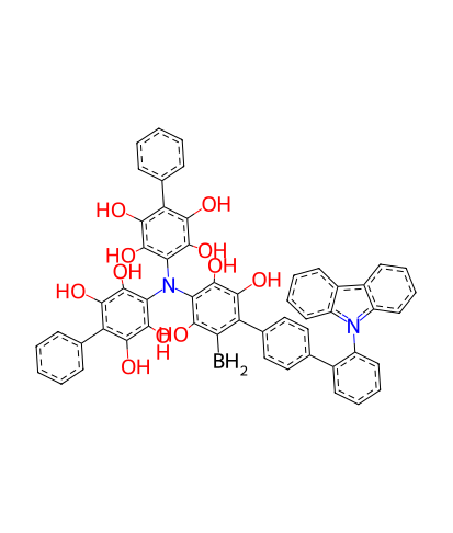 Bc1c(O)c(N(c2c(O)c(O)c(-c3ccccc3)c(O)c2O)c2c(O)c(O)c(-c3ccccc3)c(O)c2O)c(O)c(O)c1-c1ccc(-c2ccccc2-n2c3ccccc3c3ccccc32)cc1